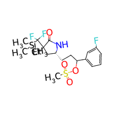 CCC1(C(F)(F)[Si](C)(C)C)C[C@@H](CCC(OS(C)(=O)=O)c2cccc(F)c2)NC1=O